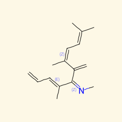 C=C/C=C(C)/C(=N/C)C(=C)/C(C)=C\C=C(C)C